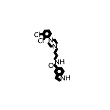 O=C(NCCCCN1CCN(c2cccc(Cl)c2Cl)CC1)c1ccc2[nH]ccc2c1